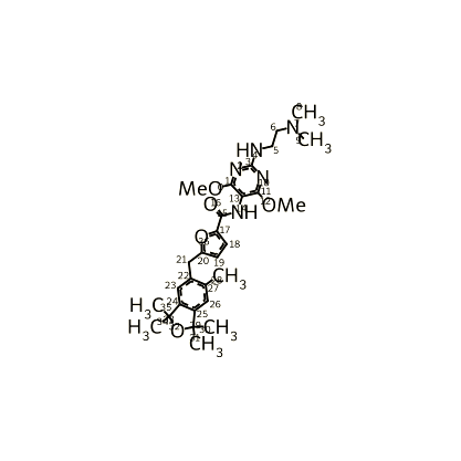 COc1nc(NCCN(C)C)nc(OC)c1NC(=O)c1ccc(Cc2cc3c(cc2C)C(C)(C)OC3(C)C)o1